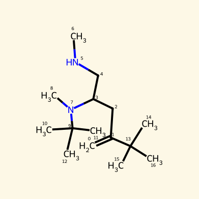 C=C(CC(CNC)N(C)C(C)(C)C)C(C)(C)C